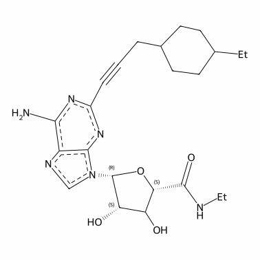 CCNC(=O)[C@H]1O[C@@H](n2cnc3c(N)nc(C#CCC4CCC(CC)CC4)nc32)[C@@H](O)C1O